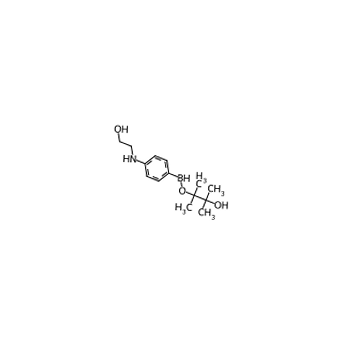 CC(C)(O)C(C)(C)OBc1ccc(NCCO)cc1